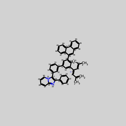 C=C(C)/C=C(\C=C(C)C)c1cc(-c2cccc(-c3c(-c4ccccc4)nc4ccccn34)c2)cc(-c2cc3ccccc3c3ccccc23)c1